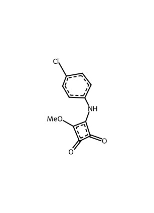 COc1c(Nc2ccc(Cl)cc2)c(=O)c1=O